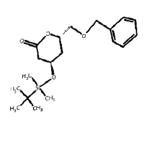 CC(C)(C)[Si](C)(C)O[C@H]1CC(=O)O[C@H](COCc2ccccc2)C1